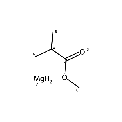 COC(=O)C(C)C.[MgH2]